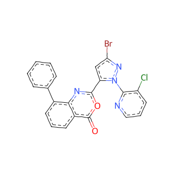 O=c1oc(-c2cc(Br)nn2-c2ncccc2Cl)nc2c(-c3ccccc3)cccc12